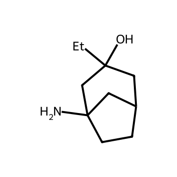 CCC1(O)CC2CCC(N)(C2)C1